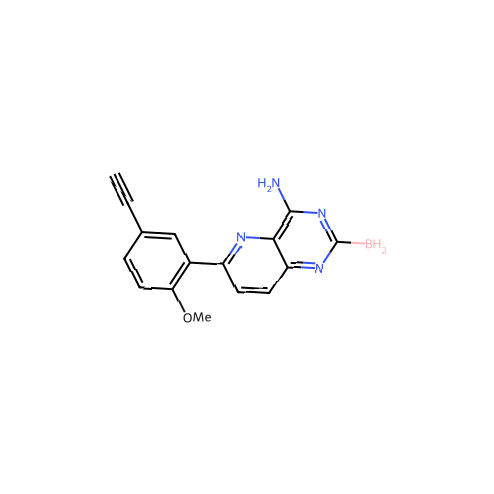 Bc1nc(N)c2nc(-c3cc(C#C)ccc3OC)ccc2n1